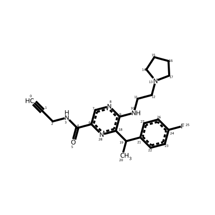 C#CCNC(=O)c1cnc(NCCN2CCCC2)c(C(C)c2ccc(F)cc2)n1